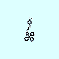 N#Cc1ccc(OCCCc2cn(C(c3ccccc3)(c3ccccc3)c3ccccc3)cn2)cc1